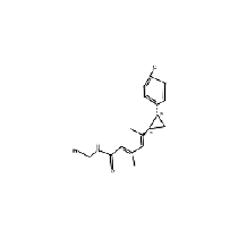 CC(=CC(=O)NCC(C)C)C=C(C)[C@@H]1C[C@H]1c1ccc(Cl)cc1